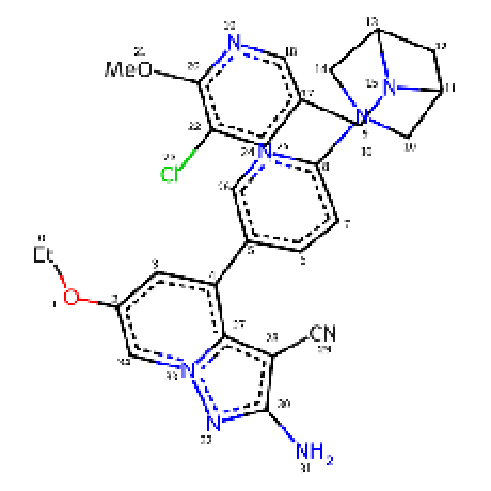 CCOc1cc(-c2ccc(N3CC4CC(C3)N4Cc3cnc(OC)c(Cl)c3)nc2)c2c(C#N)c(N)nn2c1